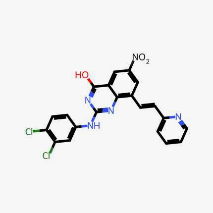 O=[N+]([O-])c1cc(C=Cc2ccccn2)c2nc(Nc3ccc(Cl)c(Cl)c3)nc(O)c2c1